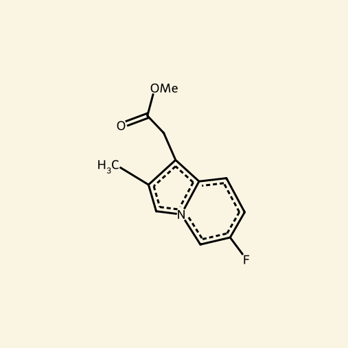 COC(=O)Cc1c(C)cn2cc(F)ccc12